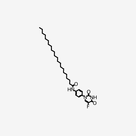 CCCCCCCCCCCCCCCCCCCCCC(=O)Nc1ccc(-n2cc(F)c(=O)[nH]c2=O)cc1